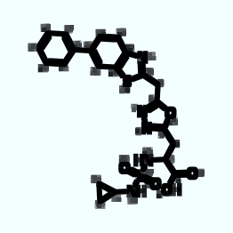 O=C(O)C(Cc1nnc(Cc2nc3ccc(-c4ccccc4)cc3s2)o1)NS(=O)(=O)NC1CC1